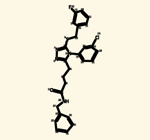 O=C(CCCc1nnc(SCc2cccc(F)c2)n1-c1cccc(Cl)c1)NCc1ccccc1